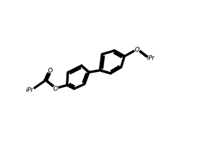 CC(C)Oc1ccc(-c2ccc(OC(=O)C(C)C)cc2)cc1